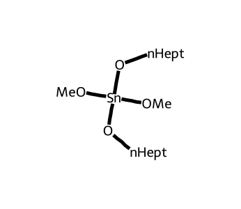 CCCCCCC[O][Sn]([O]C)([O]C)[O]CCCCCCC